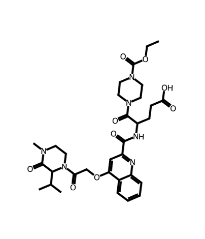 CCOC(=O)N1CCN(C(=O)C(CCC(=O)O)NC(=O)c2cc(OCC(=O)N3CCN(C)C(=O)C3C(C)C)c3ccccc3n2)CC1